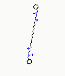 C=[N+](CCCCCCCCCCCCNCC[N+](=C)Cc1ccccc1)CCNCc1ccccc1